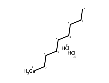 CCCCCCC[CH2][GaH2].Cl.Cl